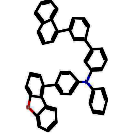 c1ccc(N(c2ccc(-c3cccc4oc5ccccc5c34)cc2)c2cccc(-c3cccc(-c4cccc5ccccc45)c3)c2)cc1